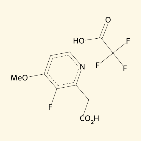 COc1ccnc(CC(=O)O)c1F.O=C(O)C(F)(F)F